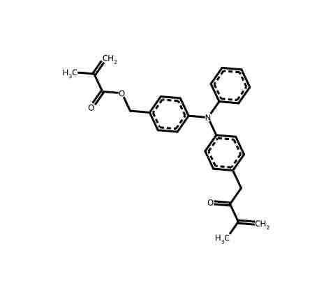 C=C(C)C(=O)Cc1ccc(N(c2ccccc2)c2ccc(COC(=O)C(=C)C)cc2)cc1